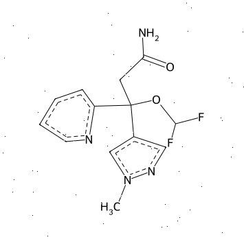 Cn1cc(C(CC(N)=O)(OC(F)F)c2ccccn2)cn1